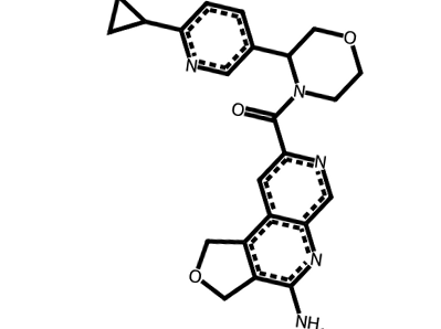 Nc1nc2cnc(C(=O)N3CCOCC3c3ccc(C4CC4)nc3)cc2c2c1COC2